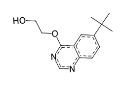 CC(C)(C)c1ccc2ncnc(OCCO)c2c1